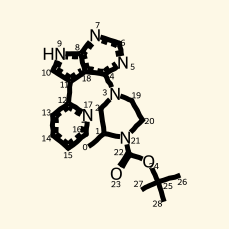 CC1CN(c2ncnc3[nH]cc(-c4ccccn4)c23)CCN1C(=O)OC(C)(C)C